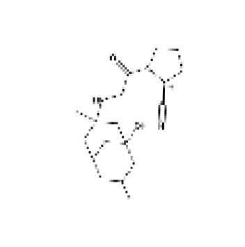 CC1CC2CC(O)(C1)CC(C)(NCC(=O)N1CCC[C@H]1C#N)C2